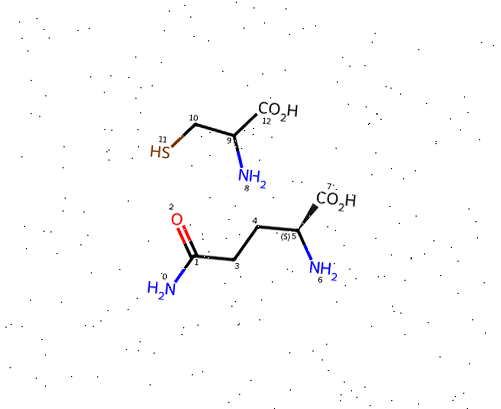 NC(=O)CC[C@H](N)C(=O)O.NC(CS)C(=O)O